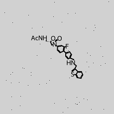 CC(=O)NC[C@H]1CN(c2ccc(-c3ccc(CNCc4csc5ccccc45)cc3)c(F)c2)C(=O)O1